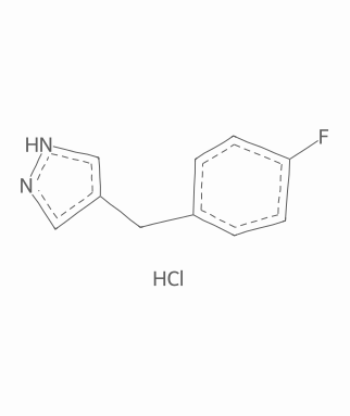 Cl.Fc1ccc(Cc2cn[nH]c2)cc1